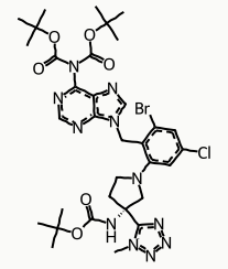 Cn1nnnc1[C@@]1(NC(=O)OC(C)(C)C)CCN(c2cc(Cl)cc(Br)c2Cn2cnc3c(N(C(=O)OC(C)(C)C)C(=O)OC(C)(C)C)ncnc32)C1